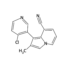 Cc1cn2cccc(C#N)c2c1-c1cnccc1Cl